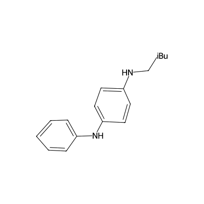 CCC(C)CNc1ccc(Nc2ccccc2)cc1